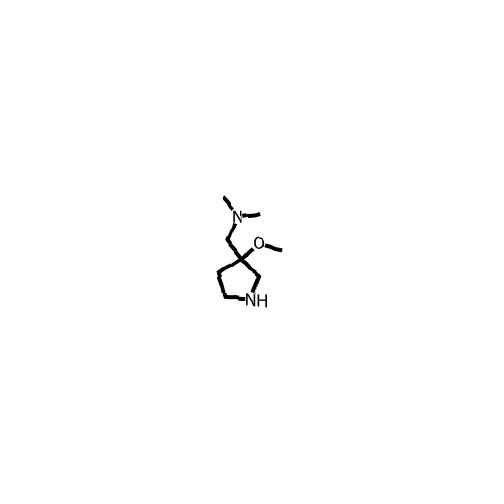 COC1(CN(C)C)CCNC1